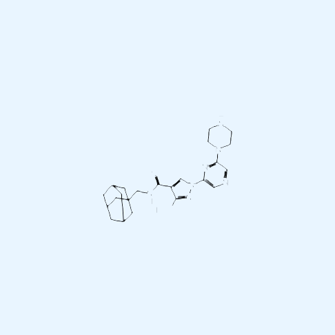 Cc1nn(-c2cncc(N3CCNCC3)n2)cc1C(=O)NCC12CC3CC(CC(C3)C1)C2